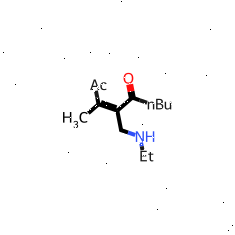 CCCCC(=O)/C(CNCC)=C(/C)C(C)=O